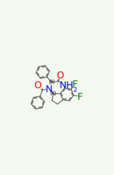 NC(=O)[C@@H](c1ccccc1)N(C(=O)c1ccccc1)[C@@H]1CCc2cc(F)c(F)cc21